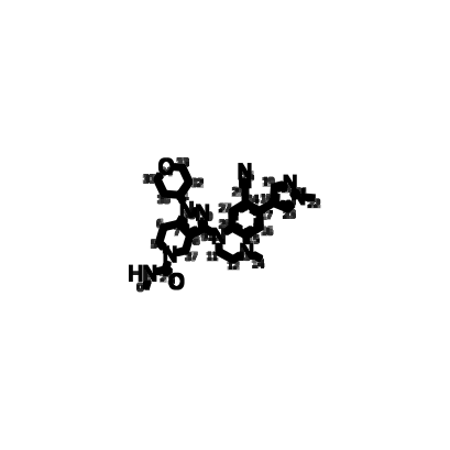 CNC(=O)N1CCc2c(c(N3CCN(C)c4cc(-c5cnn(C)c5)c(C#N)cc43)nn2C2CCOCC2)C1